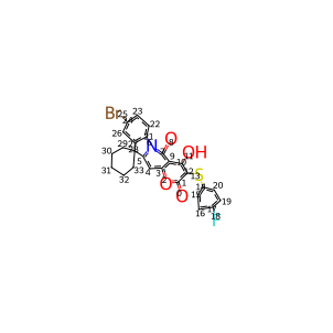 O=c1oc2cc3n(c(=O)c2c(O)c1Sc1ccc(F)cc1)-c1ccc(Br)cc1C31CCCCC1